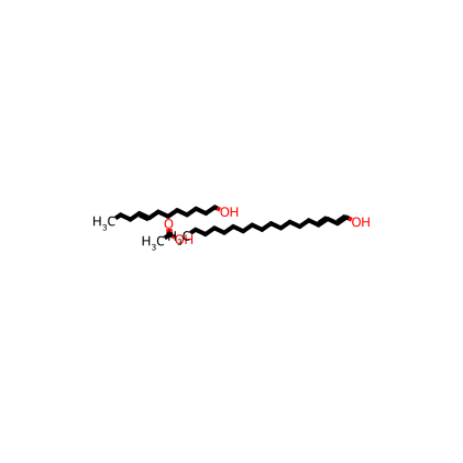 CC(=O)O.CCCC=CCCCCCCCO.CCCCCCCCCCCCCCC=CC=CO